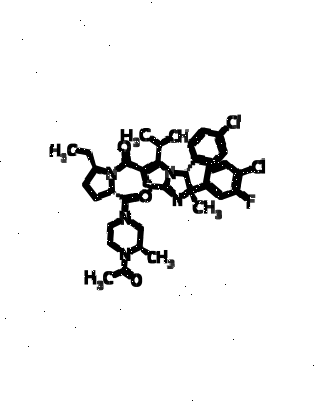 CC[C@@H]1CC[C@@H](C(=O)N2CCN(C(C)=O)[C@H](C)C2)N1C(=O)C1=C(C(C)C)N2C(=N[C@@](C)(c3ccc(Cl)c(F)c3)[C@H]2c2ccc(Cl)cc2)S1